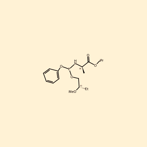 CC[C@@H](COP(N[C@H](C)C(=O)OC(C)C)Oc1ccccc1)OC